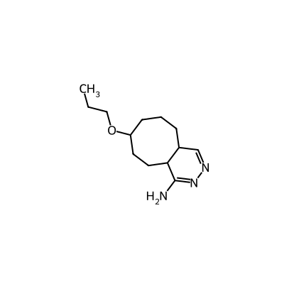 CCCOC1CCCC2C=NN=C(N)C2CC1